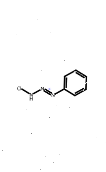 ClN/N=N/c1ccccc1